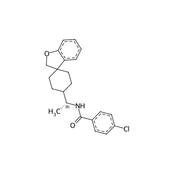 C[C@@H](NC(=O)c1ccc(Cl)cc1)C1CCC2(CC1)COc1ccccc12